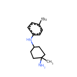 CC1(N)CCC(Nc2ccc(C(C)(C)C)cc2)CC1